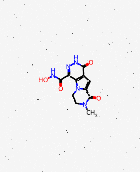 CN1CCn2c(cc3c(=O)[nH]nc(C(=O)NO)c32)C1=O